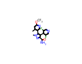 Cc1cc(OC(F)(F)F)ncc1-c1c(-c2c(F)cncc2F)c(C(N)=O)nn1C